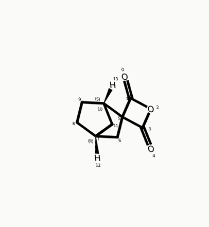 O=C1OC(=O)C12C[C@@H]1CC[C@H]2C1